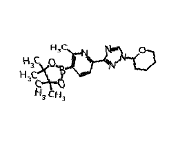 Cc1nc(-c2ncn(C3CCCCO3)n2)ccc1B1OC(C)(C)C(C)(C)O1